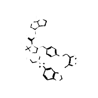 CC(C)CN(C[C@H]1OC(C)(C)N(C(=O)O[C@H]2CO[C@H]3OCCC32)[C@H]1Cc1ccc(OCc2nnsc2Cl)cc1)S(=O)(=O)c1ccc2c(c1)OCO2